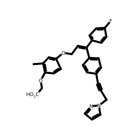 Cc1cc(OCC=C(c2ccc(F)cc2)c2ccc(C#CCn3cccn3)cc2)ccc1OCC(=O)O